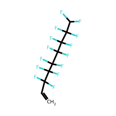 C=CC(F)(F)C(F)(F)C(F)(F)C(F)(F)C(F)(F)C(F)(F)C(F)F